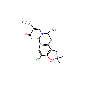 CCOC(=O)C1=CN2C(CC1=O)c1cc(Cl)c3c(c1CC2C(C)(C)C)CC(C)(C)O3